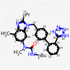 CCCCNC(=O)N(C)c1cc(C)c2nc(CCC)n(Cc3ccc(-c4ccccc4-c4nnn[nH]4)cc3)c2c1